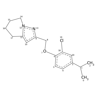 CC(C)c1ccc(OCc2cc3n(n2)CCCC3)c(Cl)c1